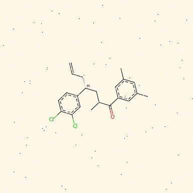 C=CC[C@H](CC(C)C(=O)c1cc(C)cc(C)c1)c1ccc(Cl)c(Cl)c1